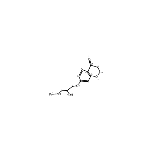 CC(C)NCC(O)COc1ccc2c(c1)OCCC2=O